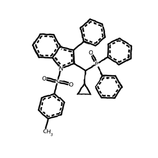 Cc1ccc(S(=O)(=O)n2c(C(C3CC3)P(=O)(c3ccccc3)c3ccccc3)c(-c3ccccc3)c3ccccc32)cc1